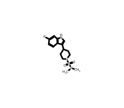 CN(C)S(=O)(=O)N1CCC(c2c[nH]c3cc(F)ccc23)CC1